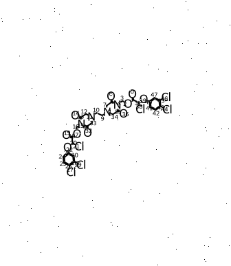 O=C(OCN1C(=O)CN(CCN2CC(=O)N(COC(=O)C(Cl)Oc3ccc(Cl)c(Cl)c3)C(=O)C2)CC1=O)C(Cl)Oc1ccc(Cl)c(Cl)c1